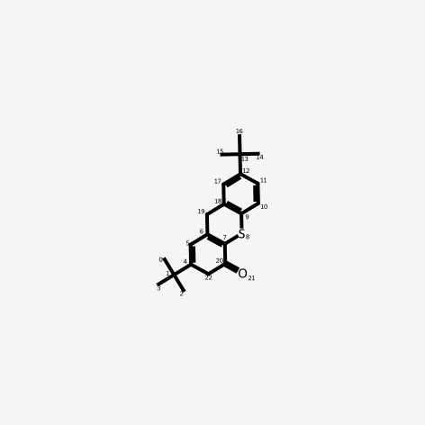 CC(C)(C)C1=CC2=C(Sc3ccc(C(C)(C)C)cc3C2)C(=O)C1